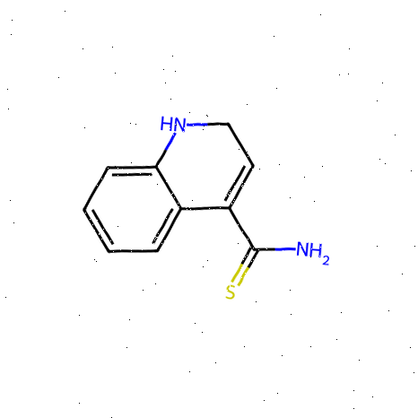 NC(=S)C1=CCNc2ccccc21